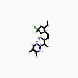 CCC1=C(/C=C\C(N)C(C)c2ncc(C)c(C)n2)CC(F)(F)C1